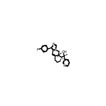 C[C@]12Cn3cnc(-c4ccc(F)cc4)c3C=C1CCC[C@@H]2[C@](C)(O)c1cccnc1